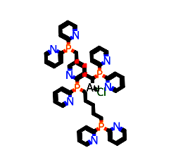 [Cl][Au]([CH](CCCCP(c1ccccn1)c1ccccn1)P(c1ccccn1)c1ccccn1)[CH](CCCCP(c1ccccn1)c1ccccn1)P(c1ccccn1)c1ccccn1